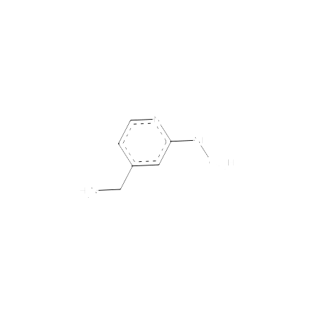 NCc1ccnc(NC(=O)O)c1